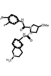 Bc1ccc(NC(=O)N2CC(OC)C[C@@H]2C(=O)Nc2ccc3c(c2)CCN(C)C3)cc1F